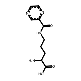 NC(CCCNC(=O)c1cnccn1)C(=O)O